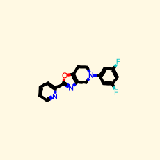 Fc1cc(F)cc(N2CCc3oc(-c4ccccn4)nc3C2)c1